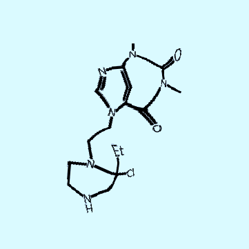 CCC1(Cl)CNCCN1CCn1cnc2c1c(=O)n(C)c(=O)n2C